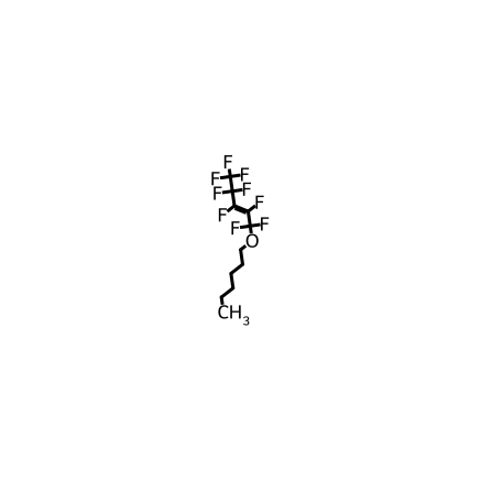 CCCCCCOC(F)(F)C(F)=C(F)C(F)(F)C(F)(F)F